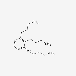 CCC[CH2][Mg][c]1cccc(CCCC)c1CCCC